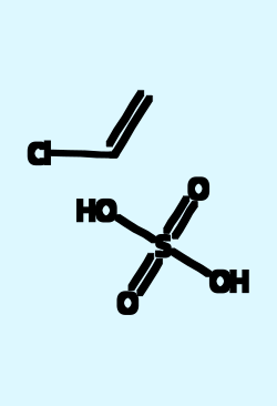 C=CCl.O=S(=O)(O)O